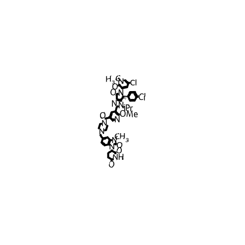 COc1ncc(C(=O)N2CCN(Cc3ccc4c(c3)n(C)c(=O)n4C3CCC(=O)NC3=O)CC2)cc1-c1nc2c(n1C(C)C)[C@H](c1ccc(Cl)cc1)N(c1cc(Cl)cn(C)c1=O)C2=O